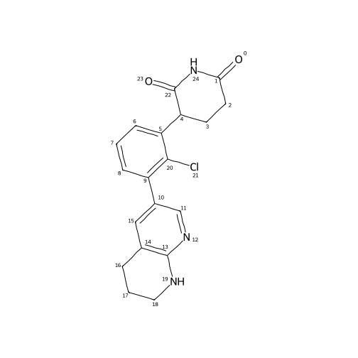 O=C1CCC(c2cccc(-c3cnc4c(c3)CCCN4)c2Cl)C(=O)N1